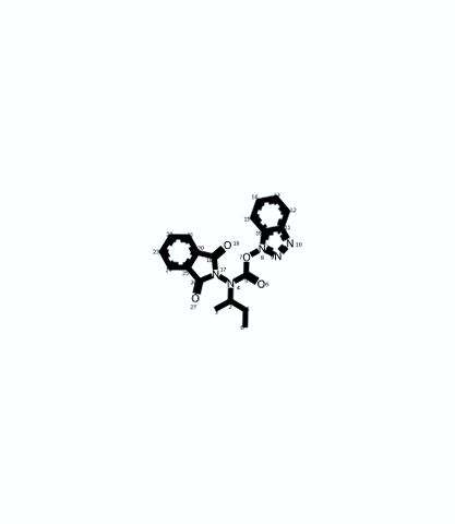 CCC(C)N(C(=O)On1nnc2ccccc21)N1C(=O)c2ccccc2C1=O